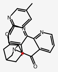 Cc1ccc(OC2CC3CCC2N(C(=O)c2cccnc2-c2ncccc2F)C3)nc1